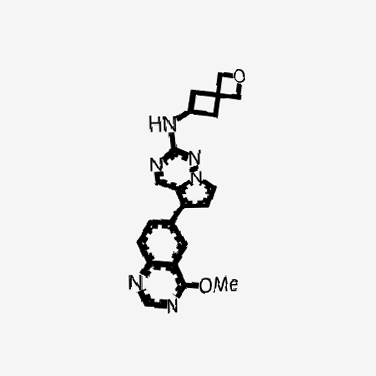 COc1ncnc2ccc(-c3ccn4nc(NC5CC6(COC6)C5)ncc34)cc12